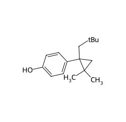 CC(C)(C)CC1(c2ccc(O)cc2)CC1(C)C